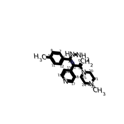 C=C(/C(=C(\NN)c1ccc(C)cc1)c1ccncc1)N1CCN(C)CC1